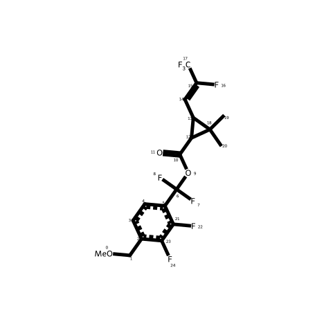 COCc1ccc(C(F)(F)OC(=O)C2C(C=C(F)C(F)(F)F)C2(C)C)c(F)c1F